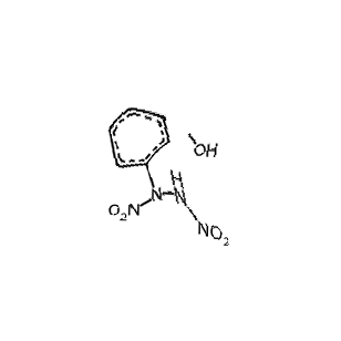 CO.O=[N+]([O-])NN(c1ccccc1)[N+](=O)[O-]